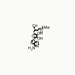 C#C[C@@H](CCNSC)C[C@H]1O[C@@H](n2cnc3c(N)ncnc32)[C@H](O)[C@@H]1O